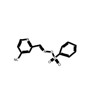 N#Cc1ccnc(C=NOS(=O)(=O)c2ccccc2)c1